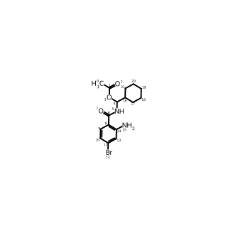 CC(=O)OC(NC(=O)c1ccc(Br)cc1N)C1CCCCC1